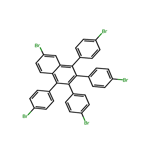 Brc1ccc(-c2c(-c3ccc(Br)cc3)c(-c3ccc(Br)cc3)c3cc(Br)ccc3c2-c2ccc(Br)cc2)cc1